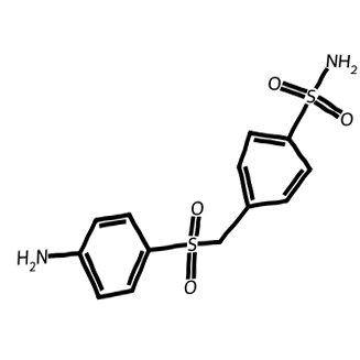 Nc1ccc(S(=O)(=O)Cc2ccc(S(N)(=O)=O)cc2)cc1